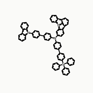 c1ccc([Si](c2ccccc2)(c2ccccc2)c2ccc(-c3ccc(N(c4ccc(-c5ccc(-n6c7ccccc7c7ccccc76)cc5)cc4)c4ccc5c6cccc7c8ccccc8n(c5c4)c76)cc3)cc2)cc1